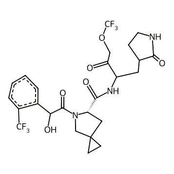 O=C1NCCC1CC(NC(=O)[C@@H]1CC2(CC2)CN1C(=O)C(O)c1ccccc1C(F)(F)F)C(=O)COC(F)(F)F